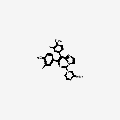 CNC1CCCN(c2nc(-c3ccc(C#N)c(F)c3)c(-c3ccc(OC)c(F)c3)c3nccn23)C1